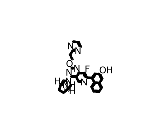 Oc1cc(-c2ncc3c(N4C[C@H]5CC[C@@H](C4)N5)nc(OCCc4ncccn4)nc3c2F)c2ccccc2c1